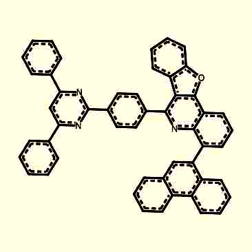 c1ccc(-c2cc(-c3ccccc3)nc(-c3ccc(-c4nc5c(-c6cc7ccccc7c7ccccc67)cccc5c5oc6ccccc6c45)cc3)n2)cc1